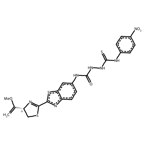 C=C(OC)[C@H]1CSC(c2nc3ccc(NC(=O)NNC(=S)Nc4ccc([N+](=O)[O-])cc4)cc3s2)=N1